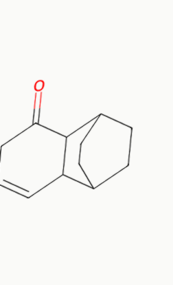 O=C1CC=CC2C3CCC(CC3)C12